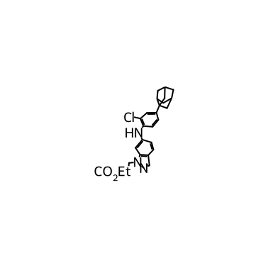 CCOC(=O)Cn1ncc2ccc(Nc3ccc(C45CC6CC(CC4C6)C5)cc3Cl)cc21